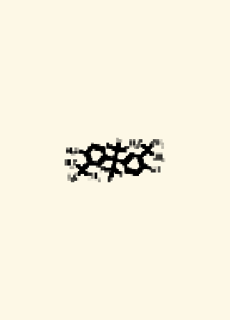 Cc1ccc(C(c2ccc(O)c(C(C)(C)C)c2)(C(F)(F)F)C(F)(F)F)cc1C(C)(C)C